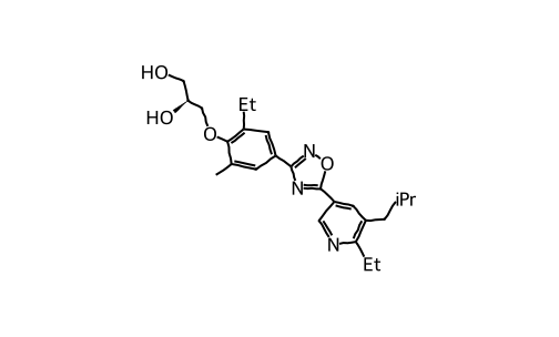 CCc1cc(-c2noc(-c3cnc(CC)c(CC(C)C)c3)n2)cc(C)c1OC[C@@H](O)CO